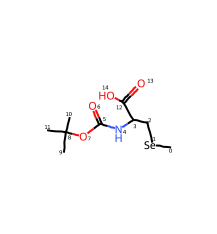 C[Se]CC(NC(=O)OC(C)(C)C)C(=O)O